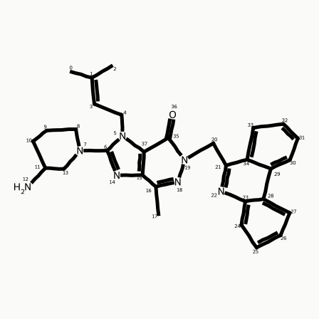 CC(C)=CCn1c(N2CCCC(N)C2)nc2c(C)nn(Cc3nc4ccccc4c4ccccc34)c(=O)c21